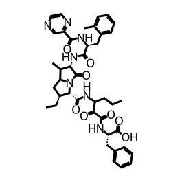 CCCC(NC(=O)[C@@H]1[C@@H](CC)CC2C(C)[C@H](NC(=O)[C@H](Cc3ccccc3C)NC(=O)c3cnccn3)C(=O)N21)C(=O)C(=O)N[C@@H](Cc1ccccc1)C(=O)O